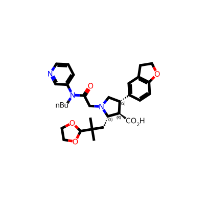 CCCCN(C(=O)CN1C[C@H](c2ccc3c(c2)CCO3)[C@@H](C(=O)O)[C@@H]1CC(C)(C)C1OCCO1)c1cccnc1